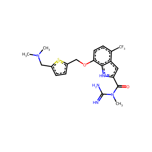 CN(C)Cc1ccc(COc2ccc(C(F)(F)F)c3cc(C(=O)N(C)C(=N)N)[nH]c23)s1